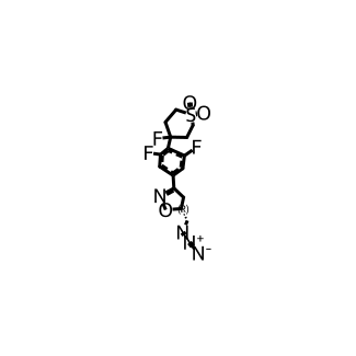 [N-]=[N+]=NC[C@H]1CC(c2cc(F)c(C3(F)CCS(=O)(=O)CC3)c(F)c2)=NO1